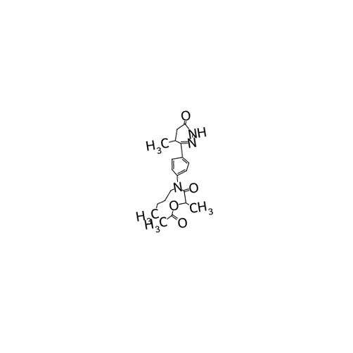 CCCCN(C(=O)C(C)OC(C)=O)c1ccc(C2=NNC(=O)CC2C)cc1